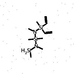 C=C[Si](C)(C=C)N(C)[Si](C)(C)N(C)[SiH2]C